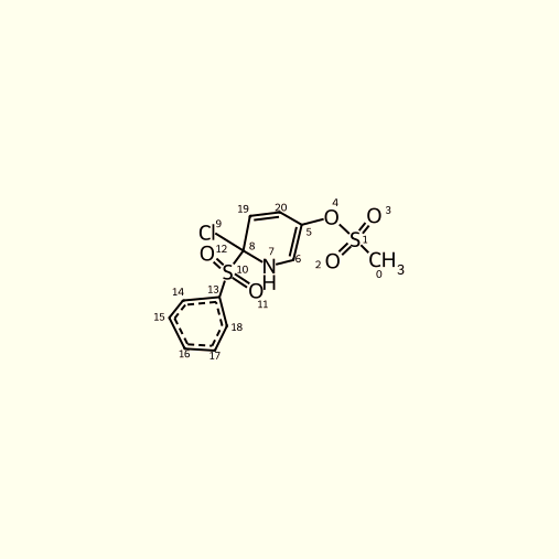 CS(=O)(=O)OC1=CNC(Cl)(S(=O)(=O)c2ccccc2)C=C1